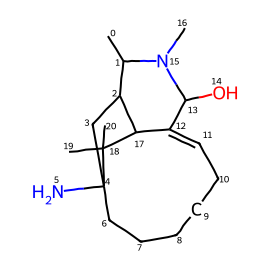 CC1C2CC3(N)CCCCC/C=C(/C(O)N1C)C2C3(C)C